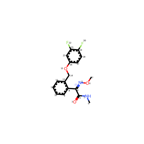 CNC(=O)/C(=N\OC)c1ccccc1COc1ccc(F)c(F)c1